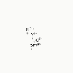 [Bi+3].[O-2].[Sm+3].[Y+3]